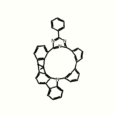 CC1(C)c2c3cccc2-c2ccc4c5ccccc5n(c4c21)-c1cccc(c1)-c1cccc(c1)-c1nc(-c2ccccc2)nc-3n1